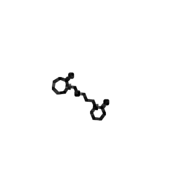 O=C1CCCCN1CCCOCN1CCCCCC1=O